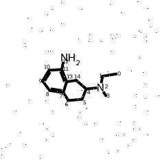 CCN(C)C1CCc2cccc(N)c2C1